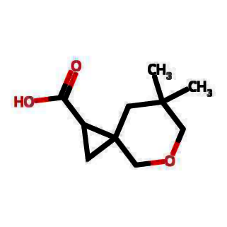 CC1(C)COCC2(CC2C(=O)O)C1